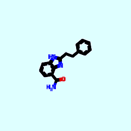 NC(=O)c1cccc2[nH]c([CH]Cc3ccccc3)nc12